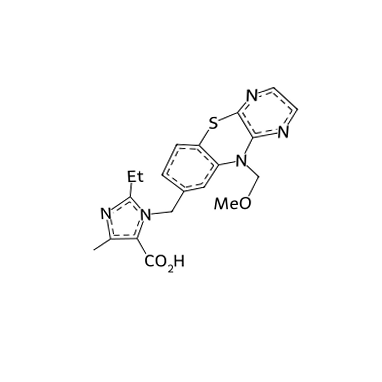 CCc1nc(C)c(C(=O)O)n1Cc1ccc2c(c1)N(COC)c1nccnc1S2